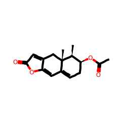 CC(=O)O[C@H]1CC=C2C=C3OC(=O)C=C3C[C@]2(C)[C@H]1C